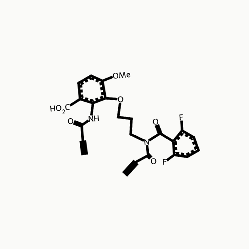 C#CC(=O)Nc1c(C(=O)O)ccc(OC)c1OCCCN(C(=O)C#C)C(=O)c1c(F)cccc1F